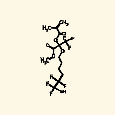 C=C(C)C(=O)OC(OCCCCC(F)(F)C(F)(F)S)(C(=O)OC)C(F)(F)F